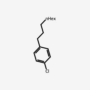 [CH2]CCCCCCCCc1ccc(Cl)cc1